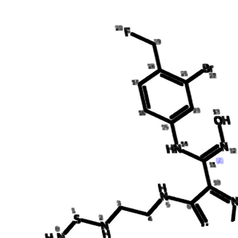 NSNCCNc1nonc1/C(=N/O)Nc1ccc(CF)c(Br)c1